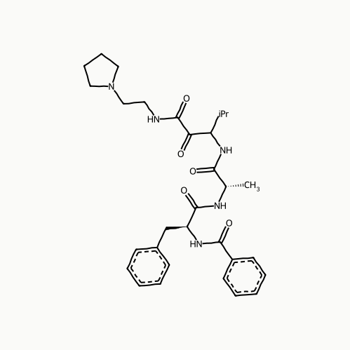 CC(C)C(NC(=O)[C@H](C)NC(=O)[C@H](Cc1ccccc1)NC(=O)c1ccccc1)C(=O)C(=O)NCCN1CCCC1